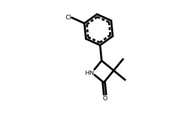 CC1(C)C(=O)NC1c1cccc(Cl)c1